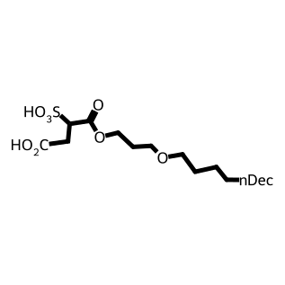 CCCCCCCCCCCCCCOCCCOC(=O)C(CC(=O)O)S(=O)(=O)O